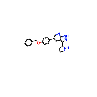 C1=CNC(c2n[nH]c3ncc(-c4ccc(OCc5ccccc5)cc4)cc23)C1